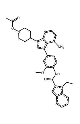 CCn1c(C(=O)Nc2ccc(-c3nn(C4CCN(OC(C)=O)CC4)c4ncnc(N)c34)cc2OC)cc2ccccc21